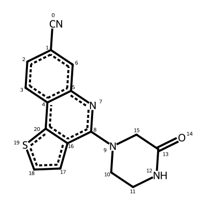 N#Cc1ccc2c(c1)nc(N1CCNC(=O)C1)c1ccsc12